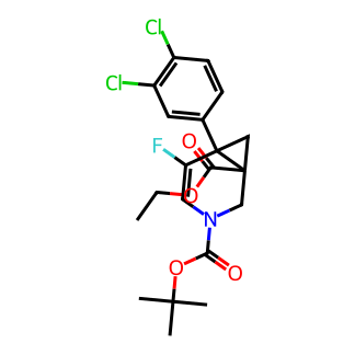 CCOC(=O)C12CN(C(=O)OC(C)(C)C)C=C(F)C1(c1ccc(Cl)c(Cl)c1)C2